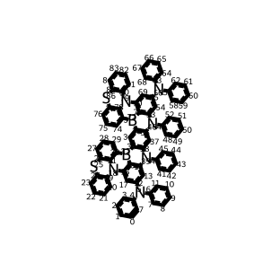 c1cccc(N(c2ccccc2)c2cc3c4c(c2)N2c5ccccc5Sc5cccc(c52)B4c2cc4c(cc2N3c2ccccc2)N(c2ccccc2)c2cc(N(c3ccccc3)c3ccccc3)cc3c2B4c2cccc4c2N3c2ccccc2S4)c#1